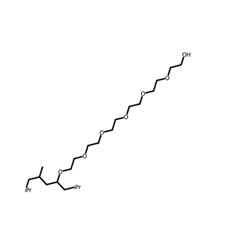 CC(C)CC(C)CC(CC(C)C)OCCOCCOCCOCCOCCOCCO